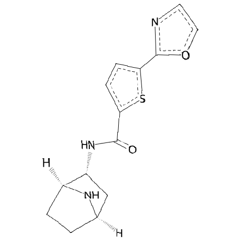 O=C(N[C@@H]1C[C@H]2CC[C@@H]1N2)c1ccc(-c2ncco2)s1